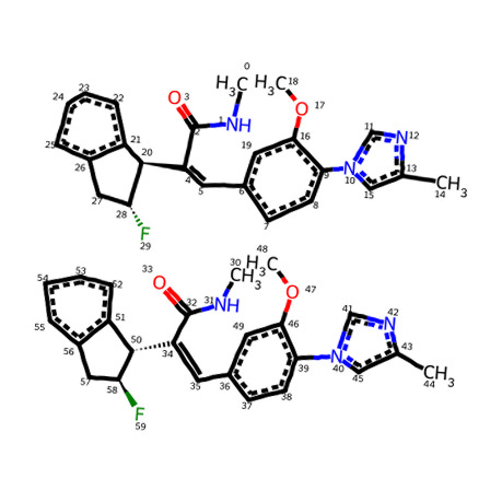 CNC(=O)C(=Cc1ccc(-n2cnc(C)c2)c(OC)c1)[C@@H]1c2ccccc2C[C@H]1F.CNC(=O)C(=Cc1ccc(-n2cnc(C)c2)c(OC)c1)[C@H]1c2ccccc2C[C@@H]1F